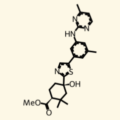 COC(=O)[C@H]1CC[C@](O)(c2ncc(-c3cc(C)cc(Nc4nccc(C)n4)c3)s2)CC1(C)C